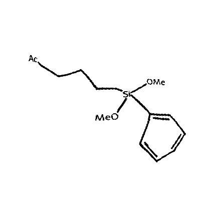 CO[Si](CCCCC(C)=O)(OC)c1ccccc1